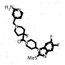 CSc1nc2cc(F)c(F)cc2n1C1CCN(C(=O)C2(F)CCN(Cc3ccnc(N)c3)CC2)CC1